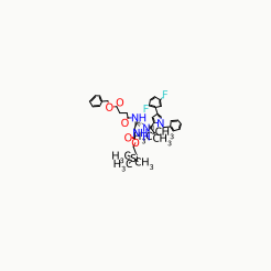 CC(C)(C)[C@@H](NC[C@H](CNC(=O)OCC[Si](C)(C)C)NC(=O)CCC(=O)OCc1ccccc1)c1cc(-c2cc(F)ccc2F)cn1Cc1ccccc1